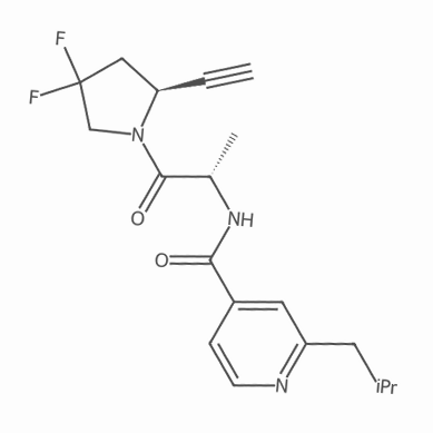 C#C[C@@H]1CC(F)(F)CN1C(=O)[C@H](C)NC(=O)c1ccnc(CC(C)C)c1